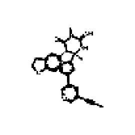 CC#Cc1cncc(-c2csc([C@@]3(C)NC(=N)N(C)C(=O)[C@@H]3c3ccc4c(c3)CCO4)c2)c1